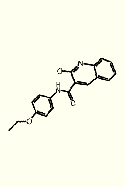 CCOc1ccc(NC(=O)c2cc3ccccc3nc2Cl)cc1